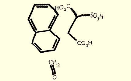 C=O.O=C(O)CC(C(=O)O)S(=O)(=O)O.c1ccc2ccccc2c1